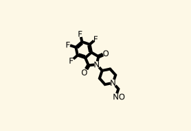 O=NCN1CCC(N2C(=O)c3c(F)c(F)c(F)c(F)c3C2=O)CC1